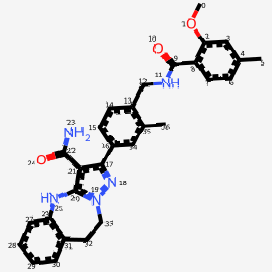 COc1cc(C)ccc1C(=O)NCc1ccc(-c2nn3c(c2C(N)=O)Nc2ccccc2CC3)cc1C